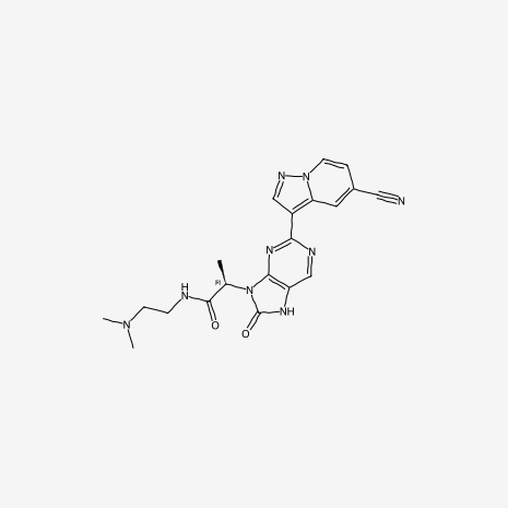 C[C@H](C(=O)NCCN(C)C)n1c(=O)[nH]c2cnc(-c3cnn4ccc(C#N)cc34)nc21